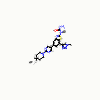 CCN(C(N)=O)c1nc2cc(-c3cnc(N4CCC(C)(C(=O)O)CC4)nc3)cc(-c3cn(C)nn3)c2s1